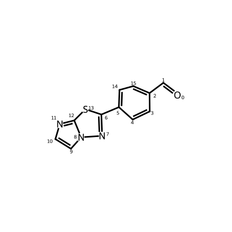 O=Cc1ccc(-c2nn3ccnc3s2)cc1